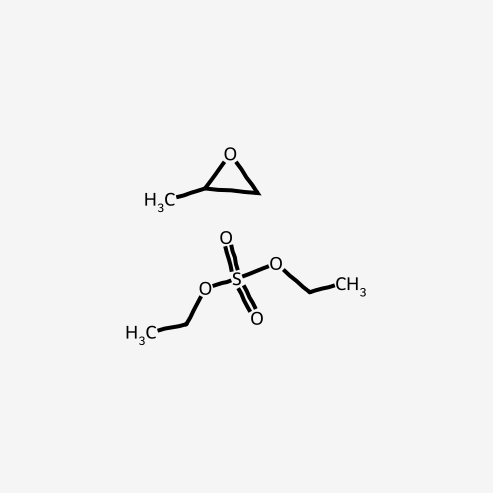 CC1CO1.CCOS(=O)(=O)OCC